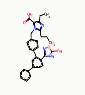 CCCc1nc(CC)c(C(=O)O)n1Cc1ccc(-c2cc(-c3ccccc3)ccc2C2=NOC(O)N2)cc1